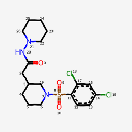 O=C(CC1CCCN(S(=O)(=O)c2ccc(Cl)cc2Cl)C1)NN1CCCCC1